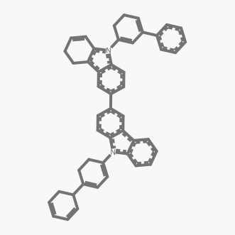 C1=CCC(C2=CC=C(n3c4ccccc4c4cc(-c5ccc6c(c5)c5c(n6C6=CC(c7ccccc7)=CCC6)C=CCC5)ccc43)CC2)C=C1